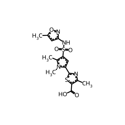 Cc1cc(NS(=O)(=O)c2cc(-c3nc(C)c(C(=O)O)s3)n(C)c2C)no1